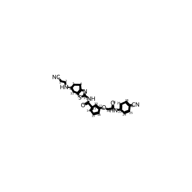 N#CCCN[C@H]1CCc2nc(NC(=O)c3cccc(OCC(=O)Nc4ccc(C#N)cc4)c3)sc2C1